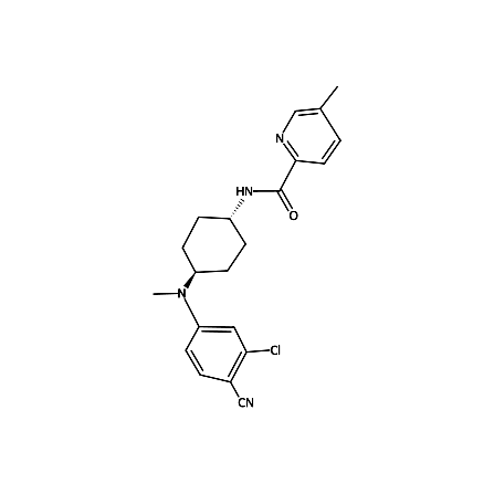 Cc1ccc(C(=O)N[C@H]2CC[C@H](N(C)c3ccc(C#N)c(Cl)c3)CC2)nc1